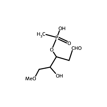 COCC(O)C(CC=O)OP(C)(=O)O